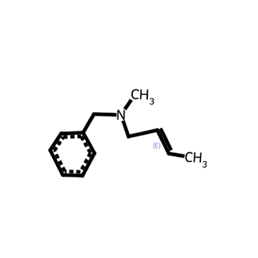 C/C=C/CN(C)Cc1ccccc1